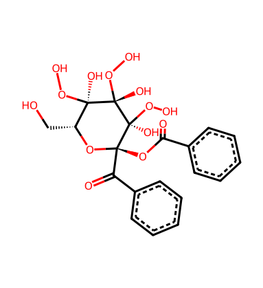 O=C(O[C@@]1(C(=O)c2ccccc2)O[C@H](CO)[C@@](O)(OO)[C@](O)(OO)[C@@]1(O)OO)c1ccccc1